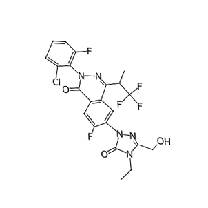 CCn1c(CO)nn(-c2cc3c(C(C)C(F)(F)F)nn(-c4c(F)cccc4Cl)c(=O)c3cc2F)c1=O